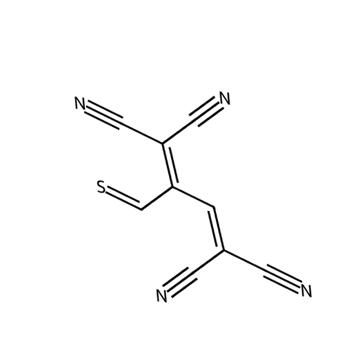 N#CC(C#N)=CC(C=S)=C(C#N)C#N